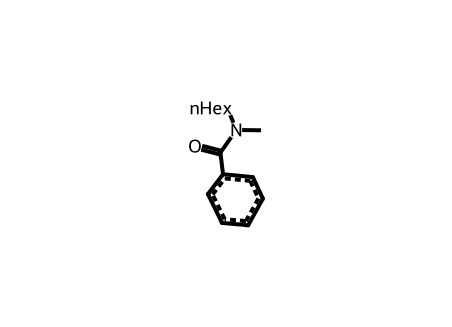 CCCCCCN(C)C(=O)c1ccccc1